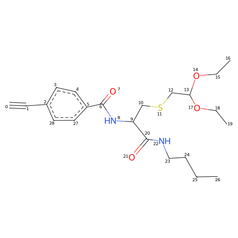 C#Cc1ccc(C(=O)NC(CSCC(OCC)OCC)C(=O)NCCCC)cc1